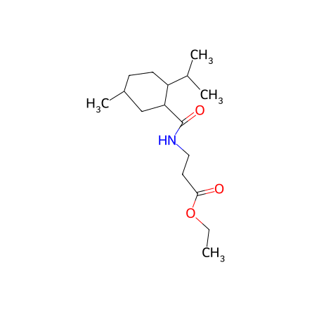 CCOC(=O)CCNC(=O)C1CC(C)CCC1C(C)C